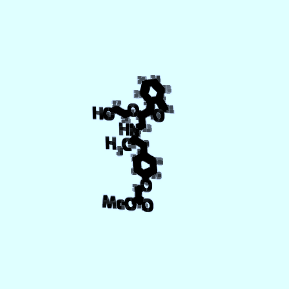 COC(=O)COc1ccc(CC(C)NCC(OCCO)c2occ3ccccc23)cc1